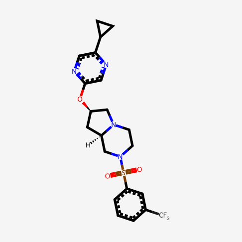 O=S(=O)(c1cccc(C(F)(F)F)c1)N1CCN2C[C@H](Oc3cnc(C4CC4)cn3)C[C@@H]2C1